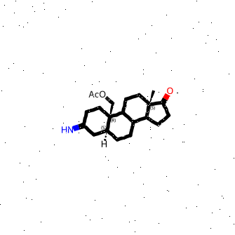 CC(=O)OC[C@]12CCC(=N)C[C@@H]1CCC1C2CC[C@]2(C)C(=O)CCC12